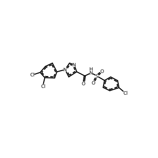 O=C(NS(=O)(=O)c1ccc(Cl)cc1)c1cn(-c2ccc(Cl)c(Cl)c2)cn1